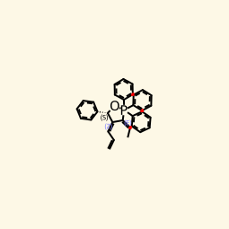 C=C/C=C1\C(=C/C)P(c2ccccc2)(c2ccccc2)(c2ccccc2)O[C@H]1c1ccccc1